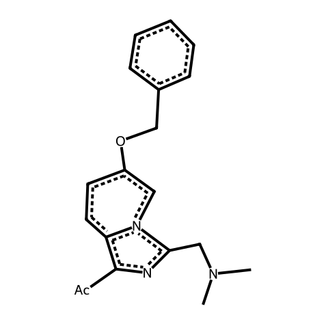 CC(=O)c1nc(CN(C)C)n2cc(OCc3ccccc3)ccc12